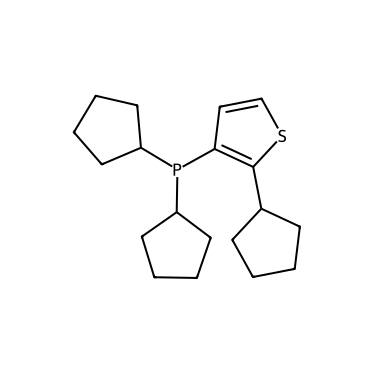 c1cc(P(C2CCCC2)C2CCCC2)c(C2CCCC2)s1